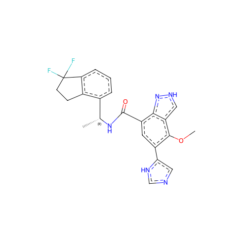 COc1c(-c2cnc[nH]2)cc(C(=O)N[C@H](C)c2cccc3c2CCC3(F)F)c2n[nH]cc12